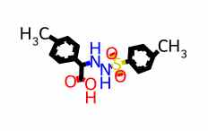 Cc1ccc(C(NNS(=O)(=O)c2ccc(C)cc2)C(=O)O)cc1